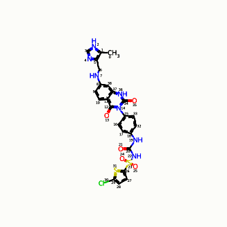 Cc1[nH]cnc1CNc1ccc2c(=O)n(-c3ccc(NC(=O)NS(=O)(=O)c4ccc(Cl)s4)cc3)c(=O)[nH]c2c1